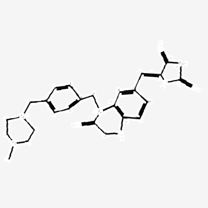 CN1CCN(Cc2ccc(CN3C(=O)COc4ccc(/C=C5\SC(=O)NC5=O)cc43)cc2)CC1